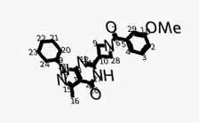 COc1cccc(C(=O)N2CC(c3nc4c(c(C)nn4C4CCCCC4)c(=O)[nH]3)C2)c1